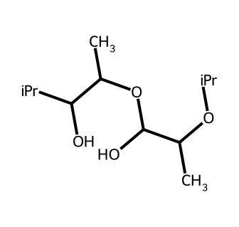 CC(C)OC(C)C(O)OC(C)C(O)C(C)C